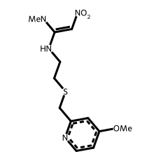 CNC(=C[N+](=O)[O-])NCCSCc1cc(OC)ccn1